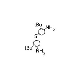 CC(C)(C)c1cc(Sc2ccc(N)c(C(C)(C)C)c2)ccc1N